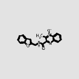 Cc1c(C(=O)NCc2cc3ccccc3o2)nc2ccccc2[n+]1[O-]